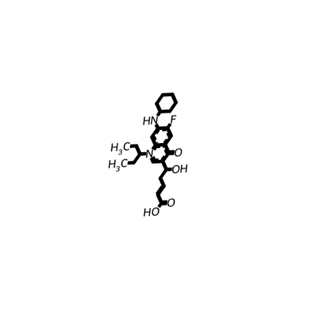 CCC(CC)n1cc(C(O)CC=CC(=O)O)c(=O)c2cc(F)c(NC3CCCCC3)cc21